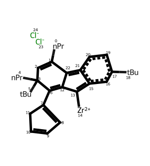 CCCC1=CC(CCC)(C(C)(C)C)C(C2=CC=CC2)=C2[C]([Zr+2])=c3cc(C(C)(C)C)ccc3=C12.[Cl-].[Cl-]